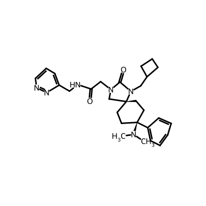 CN(C)[C@]1(c2ccccc2)CC[C@@]2(CC1)CN(CC(=O)NCc1cccnn1)C(=O)N2CC1CCC1